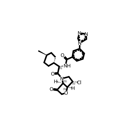 C[C@H]1CC[C@H]([C@H](NC(=O)c2cccc(-n3cnnc3)c2)C(=O)N2C[C@H](Cl)[C@H]3OCC(=O)[C@H]32)CC1